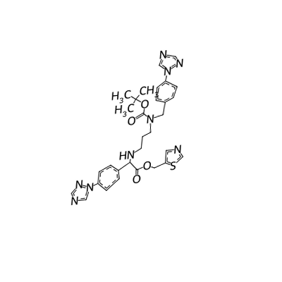 CC(C)(C)OC(=O)N(CCCNC(C(=O)OCc1cncs1)c1ccc(-n2cncn2)cc1)Cc1ccc(-n2cncn2)cc1